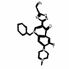 CC(C)Cc1nc(-c2cn(CC3CCCCC3)c3cc(N4CCN(C)CC4)c(F)cc3c2=O)no1